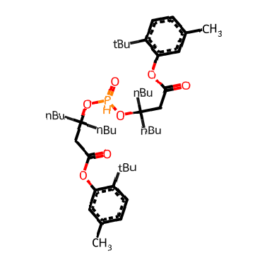 CCCCC(CCCC)(CC(=O)Oc1cc(C)ccc1C(C)(C)C)O[PH](=O)OC(CCCC)(CCCC)CC(=O)Oc1cc(C)ccc1C(C)(C)C